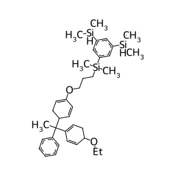 CCOC1C=CC(C(C)(c2ccccc2)C2C=CC(OCCC[Si](C)(C)c3cc([SiH](C)C)cc([SiH](C)C)c3)=CC2)=CC1